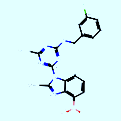 COc1nc(NCc2cccc(F)c2)nc(-n2c(OC)nc3c(B(O)O)cccc32)n1